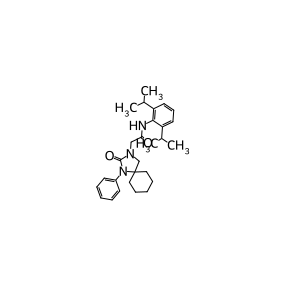 CC(C)c1cccc(C(C)C)c1NC(=O)CN1CC2(CCCCC2)N(c2ccccc2)C1=O